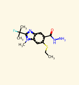 CCSc1cc2c(cc1C(=O)NN)nc(C(C)(C)F)n2C